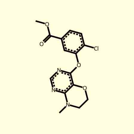 COC(=O)c1ccc(Cl)c(Oc2ncnc3c2OCCN3C)c1